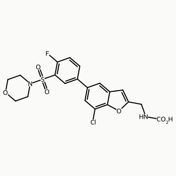 O=C(O)NCc1cc2cc(-c3ccc(F)c(S(=O)(=O)N4CCOCC4)c3)cc(Cl)c2o1